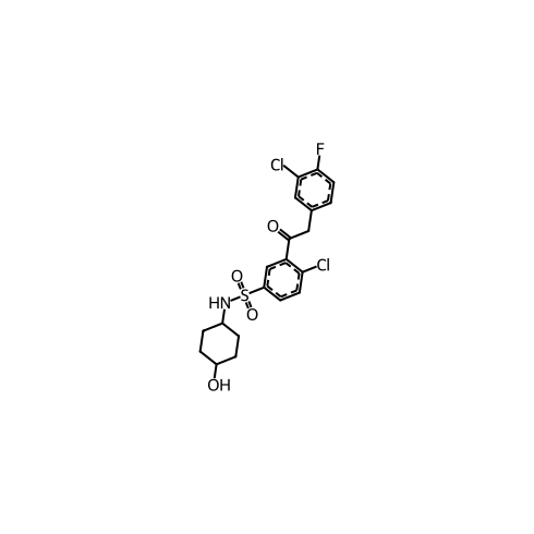 O=C(Cc1ccc(F)c(Cl)c1)c1cc(S(=O)(=O)NC2CCC(O)CC2)ccc1Cl